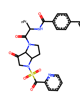 C=Cc1ccc(C(=O)NC(CCC)C(=O)N2CCC3C2C(=O)CN3S(=O)(=O)C(=O)c2ccccn2)cc1